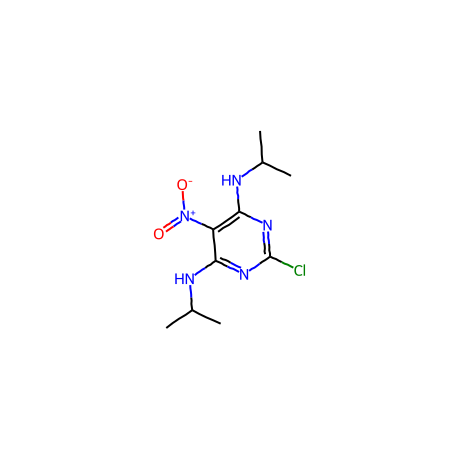 CC(C)Nc1nc(Cl)nc(NC(C)C)c1[N+](=O)[O-]